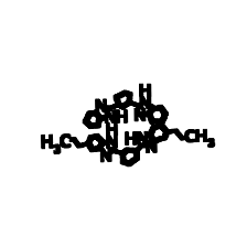 CCCc1ccc2[nH]c(-c3cccc(-c4nc5cc(CCC)ccc5[nH]4)c3)nc2c1.c1cc(-c2nc3ccccc3[nH]2)cc(-c2nc3ccccc3[nH]2)c1